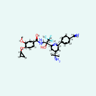 COc1cc(C(=O)NCC(O)(c2cc(C(C)(C)N)cc(-c3ccc(C#N)cc3)n2)C(F)(F)F)ccc1OC1CC1